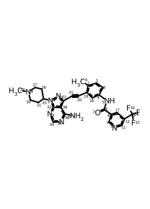 Cc1ccc(NC(=O)c2cncc(C(F)(F)F)c2)cc1C#Cc1nn(C2CCN(C)CC2)c2ncnc(N)c12